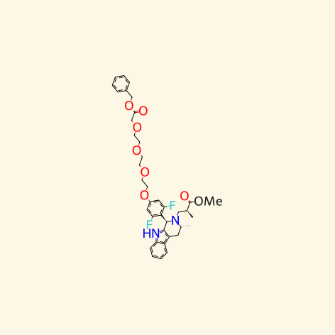 COC(=O)[C@@H](C)CN1[C@H](c2c(F)cc(OCCOCCOCCOCC(=O)OCc3ccccc3)cc2F)c2[nH]c3ccccc3c2C[C@H]1C